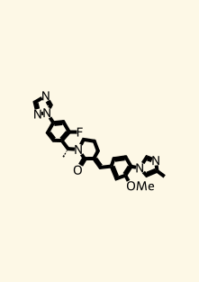 COc1cc(/C=C2\CCCN([C@H](C)c3ccc(-n4cncn4)cc3F)C2=O)ccc1-n1cnc(C)c1